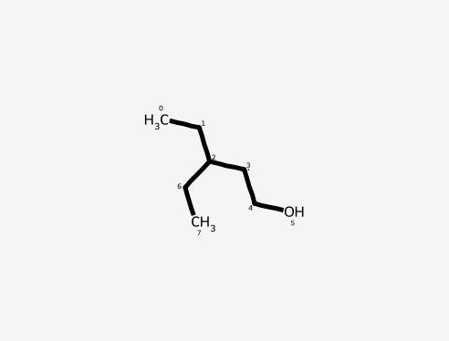 CCC([CH]CO)CC